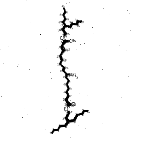 CCCCCC(CCCCC)CCOC(=O)CCCCCCCC(N)CCCCCCCC(=O)OCCC(CCCCC)CCCCC